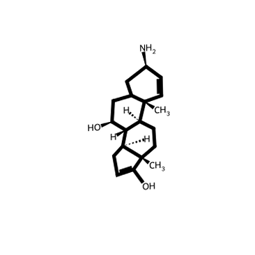 C[C@]12C=C[C@H](N)CC1C[C@H](O)[C@@H]1[C@@H]2CC[C@]2(C)C(O)=CC[C@@H]12